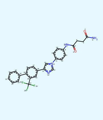 NC(=O)CCC(=O)Nc1ccc(-n2cnc(-c3ccc(-c4ccccc4)c(C(F)(F)F)c3)c2)cc1